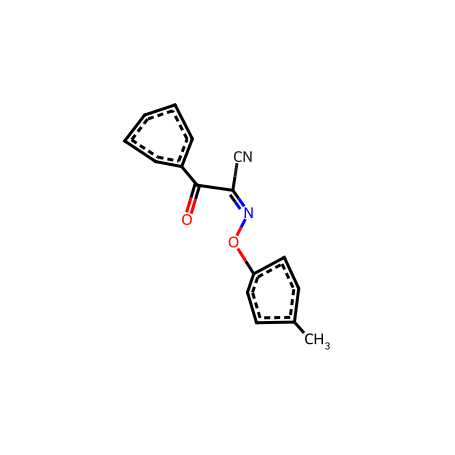 Cc1ccc(O/N=C(/C#N)C(=O)c2ccccc2)cc1